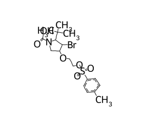 Cc1ccc(S(=O)(=O)OCCOC2CN(C(=O)O)C(C(C)(C)C)C2Br)cc1